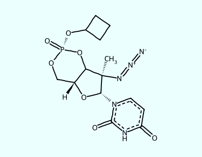 C[C@@]1(N=[N+]=[N-])C2O[P@@](=O)(OC3CCC3)OC[C@H]2O[C@H]1n1ccc(=O)[nH]c1=O